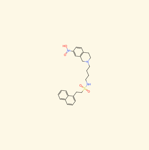 O=[N+](O)c1ccc2c(c1)CN(CCCCNS(=O)(=O)CCc1cccc3ccccc13)CC2